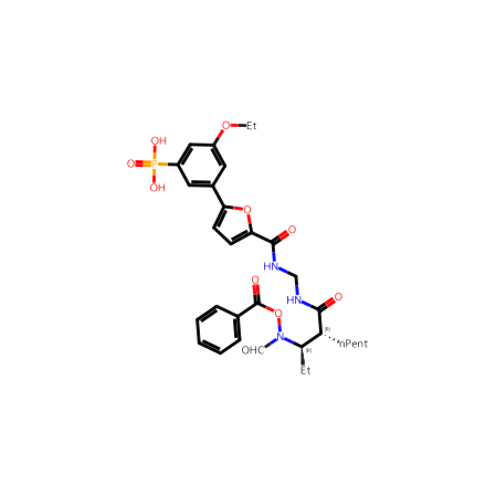 CCCCC[C@@H](C(=O)NCNC(=O)c1ccc(-c2cc(OCC)cc(P(=O)(O)O)c2)o1)[C@@H](CC)N(C=O)OC(=O)c1ccccc1